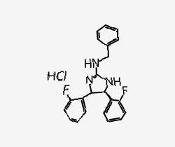 Cl.Fc1ccccc1C1N=C(NCc2ccccc2)NC1c1ccccc1F